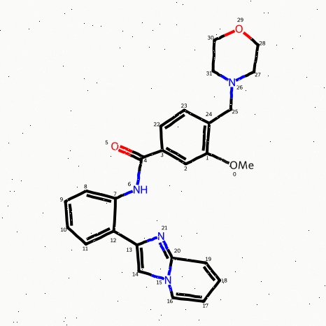 COc1cc(C(=O)Nc2ccccc2-c2cn3ccccc3n2)ccc1CN1CCOCC1